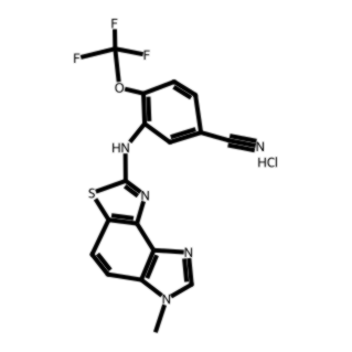 Cl.Cn1cnc2c3nc(Nc4cc(C#N)ccc4OC(F)(F)F)sc3ccc21